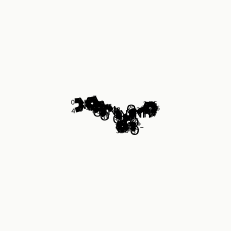 CCN(CC)c1ccc2cc(CNCC(=O)NC(CC(=O)NCc3ccccn3)c3ccccc3[N+](=O)[O-])c(=O)oc2c1